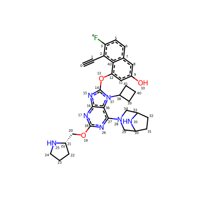 C#Cc1c(F)ccc2cc(O)cc(Oc3nc4nc(OC[C@@H]5CCCN5)nc(N5CC6CCC(C5)N6)c4n3C3CCC3)c12